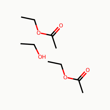 CCO.CCOC(C)=O.CCOC(C)=O